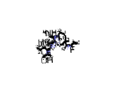 C=C/C(F)=C(/C)C1(C)CCC/C(C)=C(CNC)/C(C(/O)=C/C(=C(\C)CO)C(O)CC)=N\C1